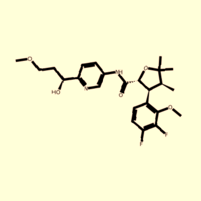 COCC[C@H](O)c1ccc(NC(=O)[C@@H]2OC(C)(C)[C@@H](C)[C@H]2c2ccc(F)c(F)c2OC)cn1